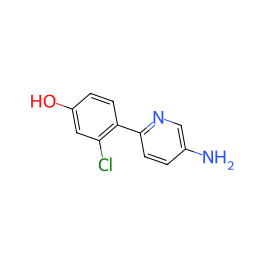 Nc1ccc(-c2ccc(O)cc2Cl)nc1